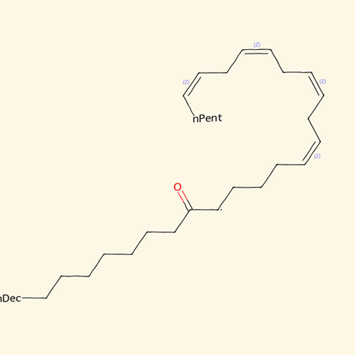 CCCCC/C=C\C/C=C\C/C=C\C/C=C\CCC[CH]C(=O)CCCCCCCCCCCCCCCCC